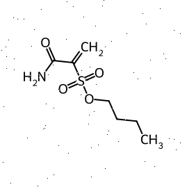 C=C(C(N)=O)S(=O)(=O)OCCCC